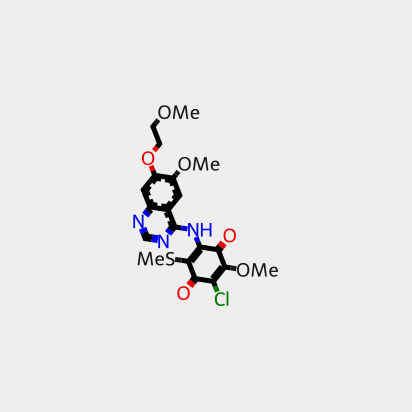 COCCOc1cc2ncnc(NC3=C(SC)C(=O)C(Cl)=C(OC)C3=O)c2cc1OC